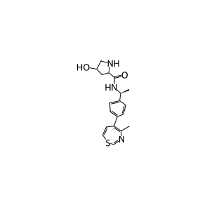 CC1=C(c2ccc([C@H](C)NC(=O)C3CC(O)CN3)cc2)C=CSC=N1